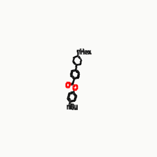 CCCCCCC1CCC(c2ccc(C(=O)Oc3ccc(CCCC)cc3)cc2)CC1